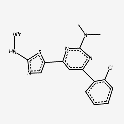 CCCNc1ncc(-c2cc(-c3ccccc3Cl)nc(N(C)C)n2)s1